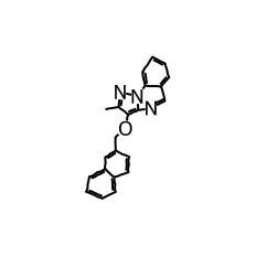 Cc1nn2c(ncc3ccccc32)c1OCc1ccc2ccccc2c1